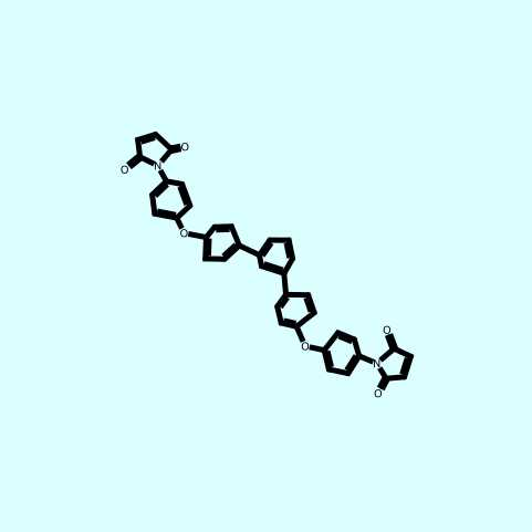 O=C1C=CC(=O)N1c1ccc(Oc2ccc(-c3cccc(-c4ccc(Oc5ccc(N6C(=O)C=CC6=O)cc5)cc4)c3)cc2)cc1